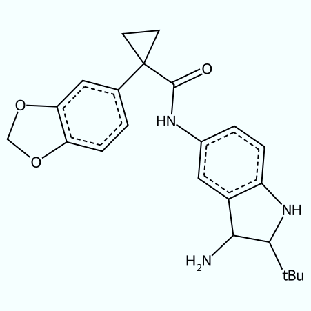 CC(C)(C)C1Nc2ccc(NC(=O)C3(c4ccc5c(c4)OCO5)CC3)cc2C1N